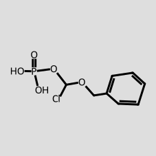 O=P(O)(O)OC(Cl)OCc1ccccc1